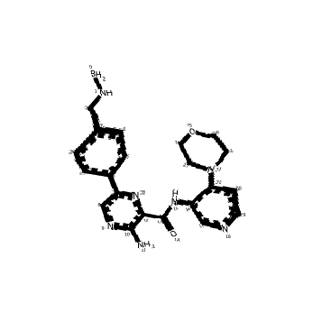 BNCc1ccc(-c2cnc(N)c(C(=O)Nc3cnccc3N3CCOCC3)n2)cc1